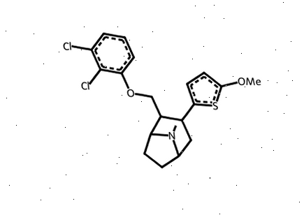 COc1ccc(C2CC3CCC(C2COc2cccc(Cl)c2Cl)N3C)s1